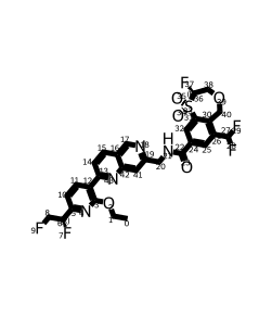 CCOc1nc([C@@H](F)CF)ccc1-c1ccc2cnc(CNC(=O)c3cc(C(F)F)c4c(c3)S(=O)(=O)[C@@H](F)COC4)cc2n1